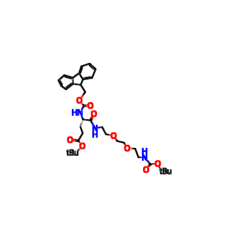 CC(C)(C)OC(=O)CC[C@H](NC(=O)OCC1c2ccccc2-c2ccccc21)C(=O)NCCOCCOCCNC(=O)OC(C)(C)C